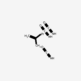 C=C(C)C(C)C.N=C=O.N=C=O.N=C=O